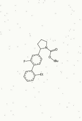 CCc1ccccc1-c1ccc(C2CCCN2C(=O)OC(C)(C)C)cc1F